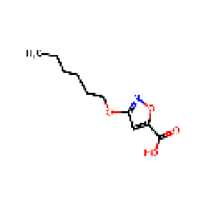 CCCCCCOc1cc(C(=O)O)on1